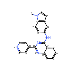 Cn1ccc2cc(Nc3nc(-c4ccncc4)nc4ccccc34)ccc21